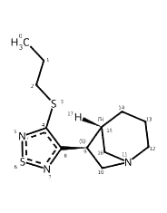 CCCSc1nsnc1[C@@H]1CN2CCC[C@@H]1C2